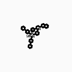 C1=CCCC(c2ccc(C3=NC(C4=CC=CC(C5=NC(C6C=c7ccccc7=CC6)CCC5c5ccccc5)C4)NC(c4ccc(C5C=CC=CC5)cc4)N3)cc2)=C1